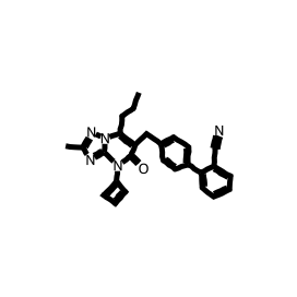 CCCc1c(Cc2ccc(-c3ccccc3C#N)cc2)c(=O)n(C2=CC=C2)c2nc(C)nn12